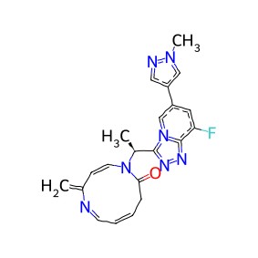 C=C1/C=C\N([C@@H](C)c2nnc3c(F)cc(-c4cnn(C)c4)cn23)C(=O)C/C=C\C=N/1